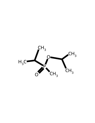 CC(C)OP(C)(=O)C(C)C